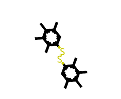 Cc1cc(SSc2cc(C)c(C)c(C)c2C)c(C)c(C)c1C